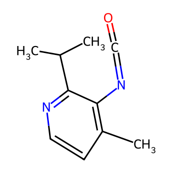 Cc1ccnc(C(C)C)c1N=C=O